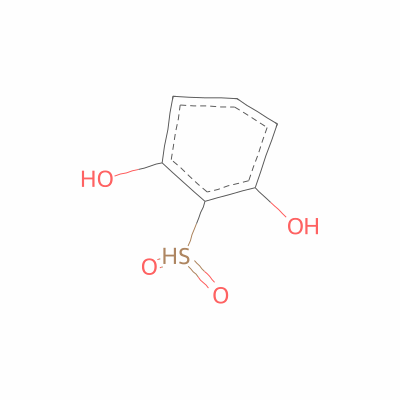 O=[SH](=O)c1c(O)cccc1O